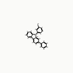 Ic1cccc(-n2c3ccccc3c3ccc(-c4ccccc4)cc32)c1